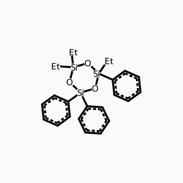 CC[Si]1(CC)O[Si](CC)(c2ccccc2)O[Si](c2ccccc2)(c2ccccc2)O1